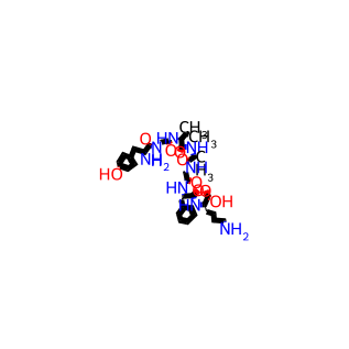 CC(C)[C@H](NC(=O)CNC(=O)[C@@H](N)Cc1ccc(O)cc1)C(=O)N[C@@H](C)C(=O)NCC(=O)N[C@@H](Cc1ccccc1)C(=O)N[C@@H](CCCCN)C(=O)O